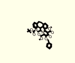 COC(=O)c1cn(C(CNC(=O)OC(C)(C)C)C2c3ccccc3CCc3ccccc32)c(C(=O)OC)c(OCc2ccccc2)c1=O